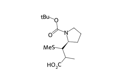 CSC(C(C)C(=O)O)[C@@H]1CCCN1C(=O)OC(C)(C)C